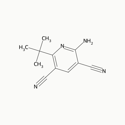 CC(C)(C)c1nc(N)c(C#N)cc1C#N